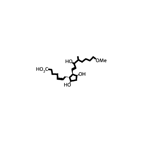 COCCCCC(C)C(O)/C=C/[C@@H]1[C@@H](C/C=C\CCCC(=O)O)[C@@H](O)C[C@H]1O